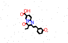 CCc1c(C=Cc2cccc(OC)c2)nc2ccc(C(=O)O)cn2c1=O